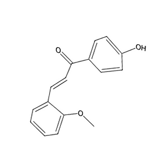 COc1ccccc1C=CC(=O)c1ccc(O)cc1